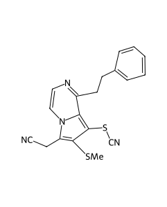 CSc1c(SC#N)c2c(CCc3ccccc3)nccn2c1CC#N